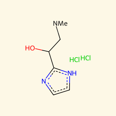 CNCC(O)c1ncc[nH]1.Cl.Cl